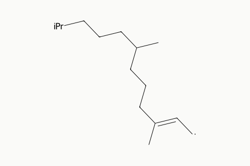 [CH2]C=C(C)CCCC(C)CCCC(C)C